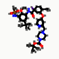 COc1c(NC(=O)[C@@]2(I)C=C(Oc3ccnc(CN4CCN(C(=O)OC(C)(C)C)CC4)c3)C(C)=CC2)cc(C(C)(C)C)cc1NS(C)(=O)=O